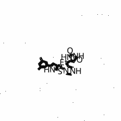 CCc1c(N2CCNCC2Cc2cc(=O)[nH]c(=O)[nH]2)sc2[nH]c(-c3cc(C)cc(C)c3)cc12